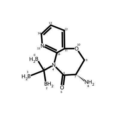 BC(B)(B)N1C(=O)[C@@H](N)COc2cccnc21